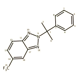 CC(C)(c1ccccc1)n1nc2ccc(C(F)(F)F)cc2n1